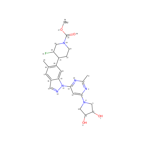 Cc1nc(N2CC(O)C(O)C2)cc(-n2ncc3cc(C)c(C4CCN(C(=O)OC(C)(C)C)CC4F)cc32)n1